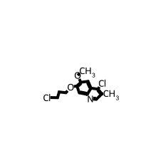 COc1cc2c(Cl)c(C)cnc2cc1OCCCCl